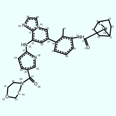 Cc1c(NC(=O)N2CC3CCC(CC3)C2)cccc1-c1cc(Nc2ccc(C(=O)N3CCOCC3)cn2)c2nccn2c1